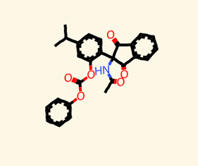 CC(=O)NC1(c2ccc(C(C)C)cc2OC(=O)Oc2ccccc2)C(=O)c2ccccc2C1=O